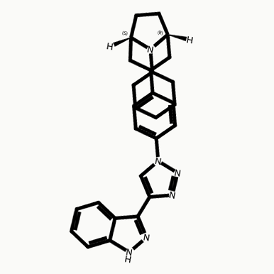 c1ccc2c(-c3cn(-c4ccc(C5C[C@H]6CC[C@@H](C5)N6C5CCCCC5)cc4)nn3)n[nH]c2c1